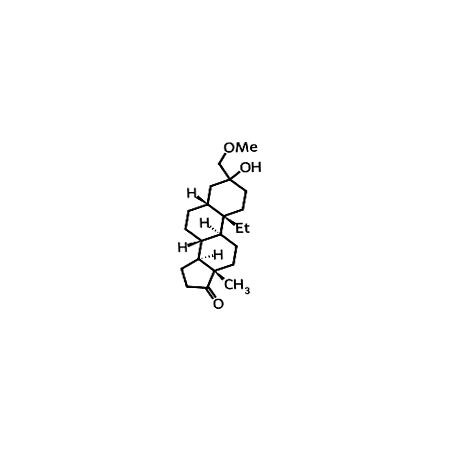 CC[C@]12CCC(O)(COC)C[C@H]1CC[C@@H]1[C@@H]2CC[C@]2(C)C(=O)CC[C@@H]12